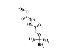 BC(B)(B)OCC(=O)NNC(=O)OC(C)(C)C